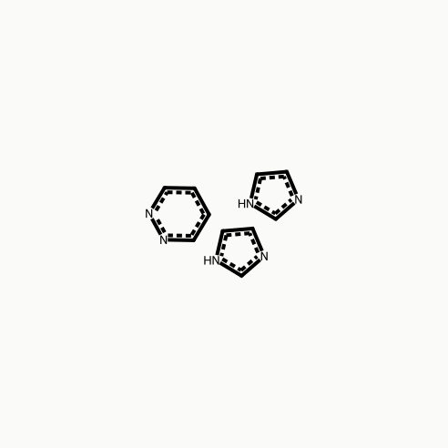 c1c[nH]cn1.c1c[nH]cn1.c1ccnnc1